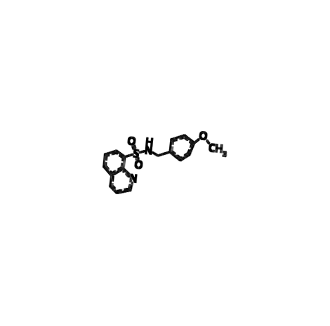 COc1ccc(CNS(=O)(=O)c2cccc3cccnc23)cc1